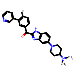 CN(C)C1CCN(c2ccc3[nH]c(C(=O)c4ccc(C#N)c(-c5cccnc5)c4)nc3c2)CC1